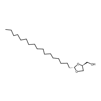 CCCCCCCCCCCCCCCCC[C@H]1OC[C@H](CO)O1